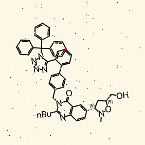 CCCCc1nc2ccc([C@@H]3C[C@@H](CO)ON3C)cc2c(=O)n1Cc1ccc(-c2ccccc2-c2nnnn2C(c2ccccc2)(c2ccccc2)c2ccccc2)cc1